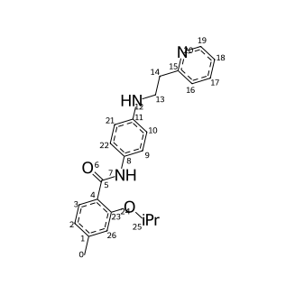 Cc1ccc(C(=O)Nc2ccc(NCCc3ccccn3)cc2)c(OC(C)C)c1